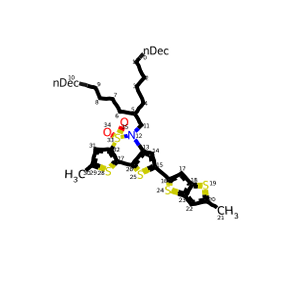 CCCCCCCCCCCCCCC(CCCCCCCCCCCCCC)CN1c2cc(-c3cc4sc(C)cc4s3)sc2-c2sc(C)cc2S1(=O)=O